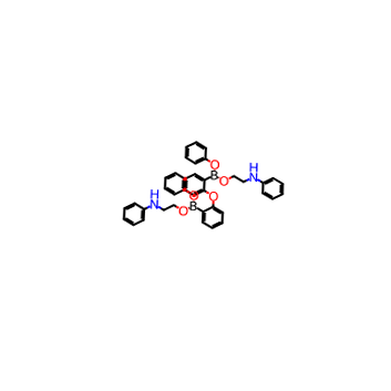 c1ccc(NCCOB(Oc2ccccc2)c2ccccc2Oc2ccccc2B(OCCNc2ccccc2)Oc2ccccc2)cc1